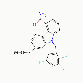 COCc1c[c]c2c3c(C(N)=O)cccc3n(Cc3cc(F)cc(F)c3F)c2c1